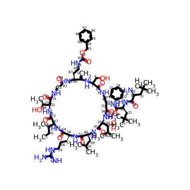 C=C1NC(CO)C(=O)N[C@H](c2ccccc2)[C@H](NC(=O)[C@H](CC(C)(C)C)NC(=O)[C@H](N)CC(C)(C)C)C(=O)N[C@@H]([C@H](O)C(C)C)C(=O)N[C@@H](CC(C)C)C(=O)N[C@H](CCCNC(=N)N)C(=O)N[C@@H]([C@@H](C)CC)C(=O)N[C@@H]([C@H](C)O)C(=O)NCC(=O)N[C@H]1CCNC(=O)OCc1ccccc1